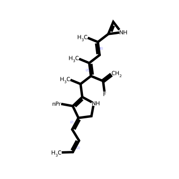 C=C(F)/C(=C(C)\C=C(/C)C1=CN1)C(C)C1=C(CCC)/C(=C/C=C\C)CN1